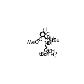 COCOc1ccc(Cl)c(Cl)c1[C@@H](CNCCO[Si](C)(C)C(C)(C)C)N[S@@+]([O-])C(C)(C)C